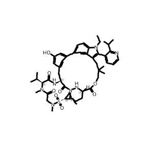 CCn1c(-c2cccnc2C(C)C)c2c3cc(ccc31)-c1cc(O)cc(c1)C[C@H](NC(=O)[C@H](C(C)C)N(C)C(=O)CN(C)S(=O)(=O)[C@@H]1CN1C)C(=O)N1CCC[C@H](N1)C(=O)OCC(C)(C)C2